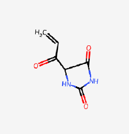 C=CC(=O)C1NC(=O)NC1=O